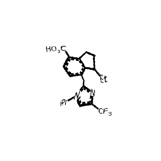 CCC1CCc2c(C(=O)O)ccc(-c3nc(C(F)(F)F)cn3C(C)C)c21